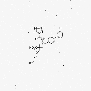 CC(COCCCO)(C[C@@H](Cc1ccc(-c2cccc(Cl)c2)cc1)NC(=O)c1c[nH]nn1)C(=O)O